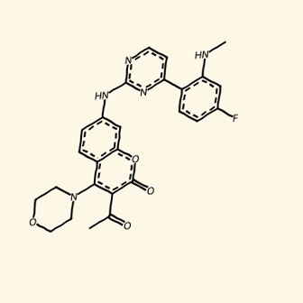 CNc1cc(F)ccc1-c1ccnc(Nc2ccc3c(N4CCOCC4)c(C(C)=O)c(=O)oc3c2)n1